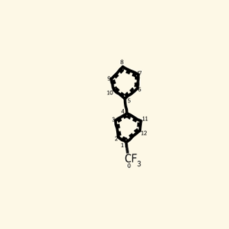 FC(F)(F)c1ccc(-c2c[c]ccc2)cc1